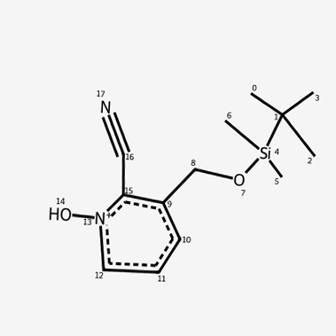 CC(C)(C)[Si](C)(C)OCc1ccc[n+](O)c1C#N